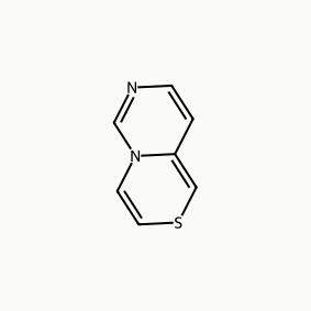 C1=CC2=CSC=CN2C=N1